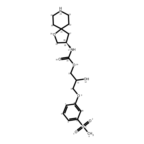 CS(=O)(=O)c1cccc(OCC(O)COC(=O)N[C@H]2COC3(CCNCC3)C2)c1